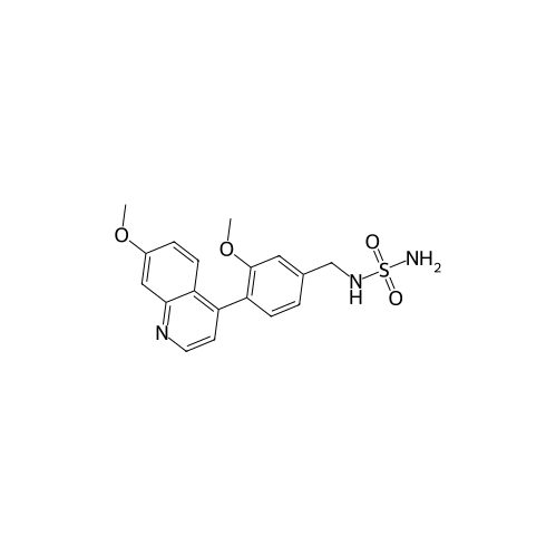 COc1ccc2c(-c3ccc(CNS(N)(=O)=O)cc3OC)ccnc2c1